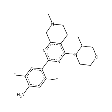 CC1COCCN1c1nc(-c2cc(F)c(N)cc2F)nc2c1CCN(C)C2